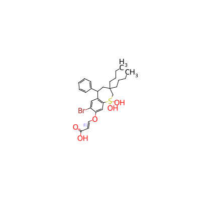 CCCCC1(CCCC)CC(c2ccccc2)c2cc(Br)c(O/C=C/C(=O)O)cc2S(O)(O)C1